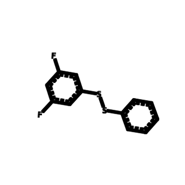 Fc1cc(F)cc(SSc2ccccc2)c1